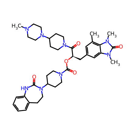 Cc1cc(C[C@@H](OC(=O)N2CCC(N3CCc4ccccc4NC3=O)CC2)C(=O)N2CCC(N3CCN(C)CC3)CC2)cc2c1n(C)c(=O)n2C